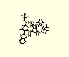 CON=C1[C@H](Nc2nc(NCC(F)(F)F)nc(C)c2-c2nc3ccccc3s2)C[C@@H]2CO[Si](C(C)C)(C(C)C)O[Si](C(C)C)(C(C)C)O[C@@H]12